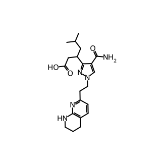 CC(C)CC(CC(=O)O)c1nn(CCc2ccc3c(n2)NCCC3)cc1C(N)=O